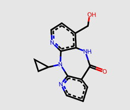 O=C1Nc2c(CO)ccnc2N(C2CC2)c2ncccc21